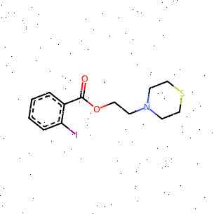 O=C(OCCN1CCSCC1)c1ccccc1I